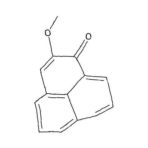 COC1=Cc2cccc3cccc(c23)C1=O